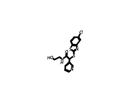 O=C(NCCO)C(Sc1nc2cc(Cl)ccc2s1)c1cccnc1